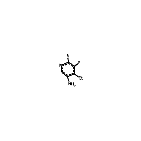 CCc1c(N)cnc(C)c1F